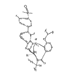 [2H]C([2H])([2H])N1C(=O)c2cccc(OC(F)F)c2[C@H]2C[C@@H]1c1nc3ccc(-c4ccc(P(C)(C)=O)c(F)c4)c(F)c3n12